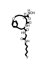 O=C(CNC(=O)C1Cc2ccc(cc2)OCCC[C@H](C(=O)NO)CC(=O)N1)NCCCCCF